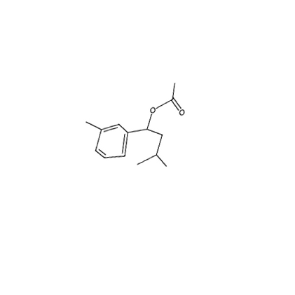 CC(=O)OC(CC(C)C)c1cccc(C)c1